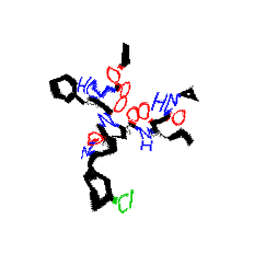 CCC[C@H](NC(=O)[C@@H]1C[C@]2(CC(c3cccc(Cl)c3)=NO2)CN1C(=O)[C@H](Cc1ccccc1)NC(=O)OCC)C(=O)C(=O)NC1CC1